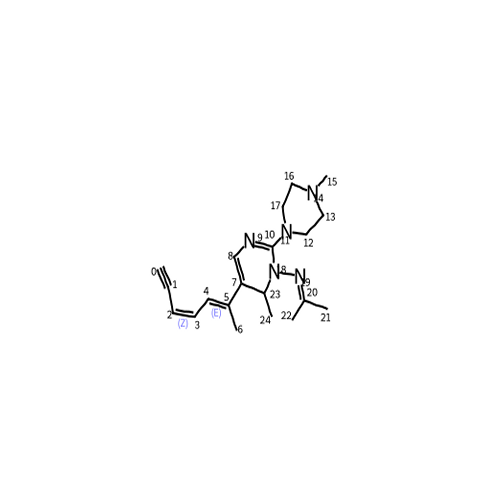 C#C/C=C\C=C(/C)C1=CN=C(N2CCN(C)CC2)N(N=C(C)C)C1C